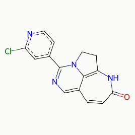 O=C1C=CC2=CN=C(c3ccnc(Cl)c3)N3CCC(=C23)N1